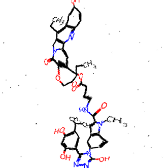 CCc1c2c(nc3ccc(O)cc13)-c1cc3c(c(=O)n1C2)OCC(=O)C3(CC)OC(=O)CCCNC(=O)c1cc2cc(-n3c(O)nnc3-c3cc(C(C)C)c(O)cc3O)ccc2n1C